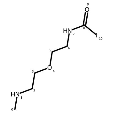 CNCCOCCNC(=O)I